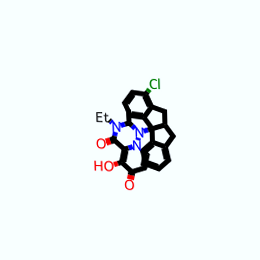 CCN1C(=O)c2c(O)c(=O)ccn2N(C23c4ccccc4CC2Cc2c(Cl)cccc23)C1C